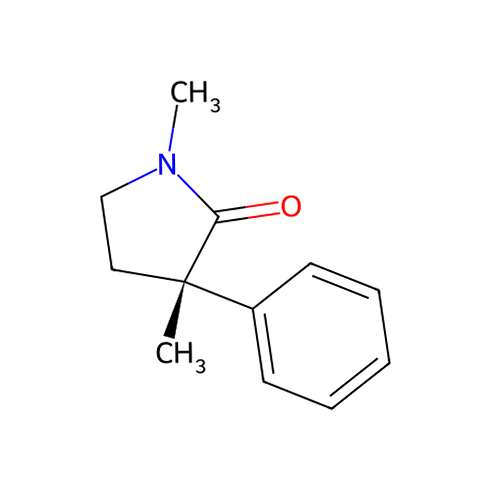 CN1CC[C@@](C)(c2ccccc2)C1=O